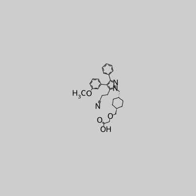 COc1cccc(-c2c(-c3ccccc3)nn(C[C@H]3CC[C@H](COCC(=O)O)CC3)c2CCC#N)c1